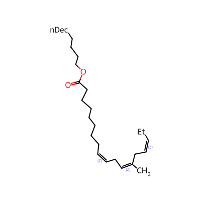 CC/C=C\C/C(C)=C\C/C=C\CCCCCCCC(=O)OCCCCCCCCCCCCCC